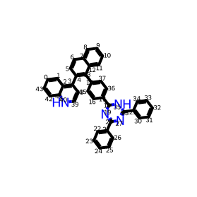 C1=CC2=C(c3ccc4ccccc4c3-c3ccc(C4N=C(c5ccccc5)N=C(c5ccccc5)N4)cc3)C=CNC2C=C1